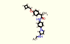 CC(=O)CNC1CCN(c2ccc(NC(=O)C(C)c3ccc(OCC4CCC4)cc3)cc2)C1